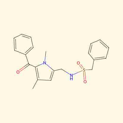 Cc1cc(CNS(=O)(=O)Cc2ccccc2)n(C)c1C(=O)c1ccccc1